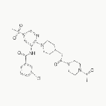 CC(=O)N1CCN(C(=O)CC2CCN(c3ncc(S(C)(=O)=O)cc3NC(=O)c3cccc(Cl)c3)CC2)CC1